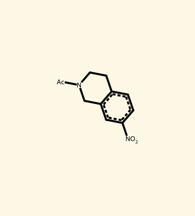 CC(=O)N1CCc2ccc([N+](=O)[O-])cc2C1